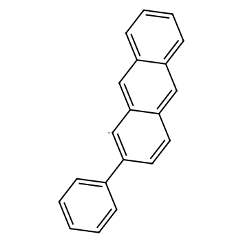 [c]1c(-c2ccccc2)ccc2cc3ccccc3cc12